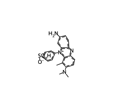 Cc1c(N(C)C)ccc2nc3ccc(N)cc3[n+](-c3ccccc3)c12.O=S(=O)([O-])O